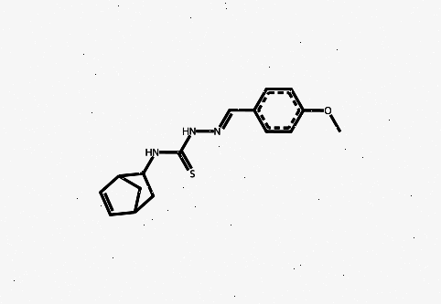 COc1ccc(/C=N/NC(=S)NC2CC3C=CC2C3)cc1